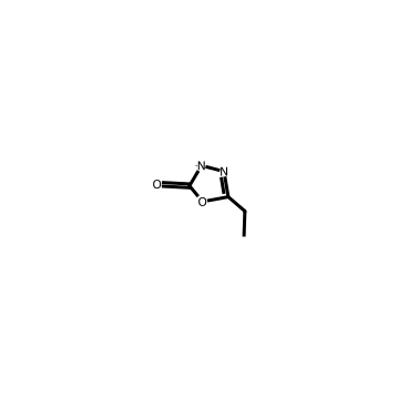 CCC1=N[N]C(=O)O1